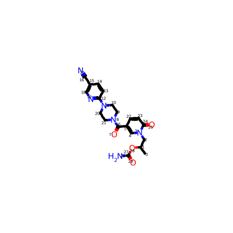 CC(Cn1cc(C(=O)N2CCN(c3ccc(C#N)cn3)CC2)ccc1=O)OC(N)=O